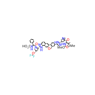 COC(=O)N[C@H](C(=O)[C@]12C[C@H](c3ncc(-c4ccc5c(c4)COc4cc6c(ccc7nc([C@@H]8C[C@H](COC(F)F)CN8C(=O)[C@H](NC(=O)O)c8ccccc8)[nH]c76)cc4-5)[nH]3)C[N@]1C2)[C@H](C)OC